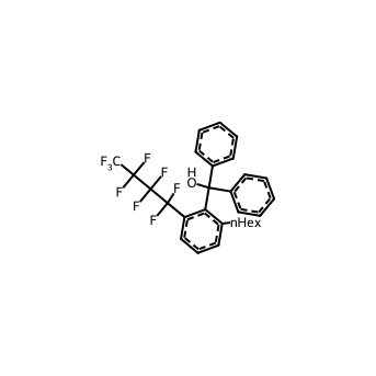 CCCCCCc1cccc(C(F)(F)C(F)(F)C(F)(F)C(F)(F)F)c1C(O)(c1ccccc1)c1ccccc1